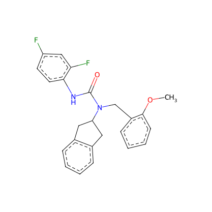 COc1ccccc1CN(C(=O)Nc1ccc(F)cc1F)C1Cc2ccccc2C1